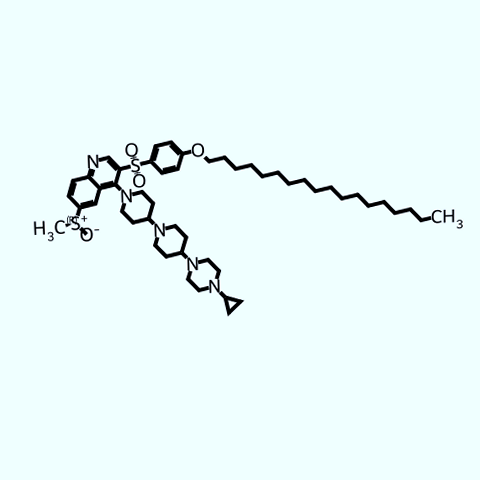 CCCCCCCCCCCCCCCCCCOc1ccc(S(=O)(=O)c2cnc3ccc([S@+](C)[O-])cc3c2N2CCC(N3CCC(N4CCN(C5CC5)CC4)CC3)CC2)cc1